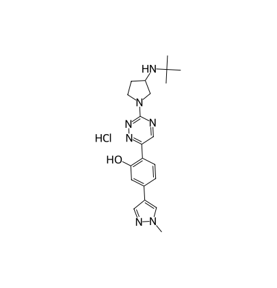 Cl.Cn1cc(-c2ccc(-c3cnc(N4CCC(NC(C)(C)C)C4)nn3)c(O)c2)cn1